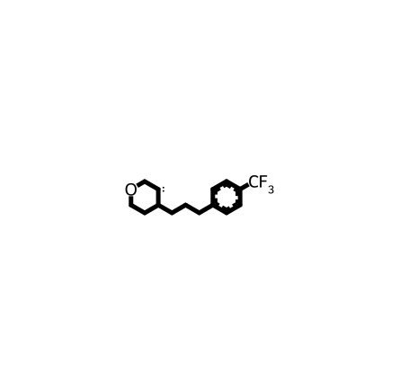 FC(F)(F)c1ccc(CCCC2[C]COCC2)cc1